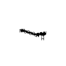 [N-]=[N+]=NCCOCCOCCOCCOCCOc1ccc(-c2ccc3c(c2)[nH]c2ccncc23)cn1